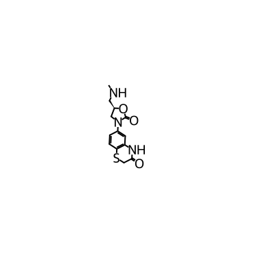 CNC[C@@H]1CN(c2ccc3c(c2)NC(=O)CS3)C(=O)O1